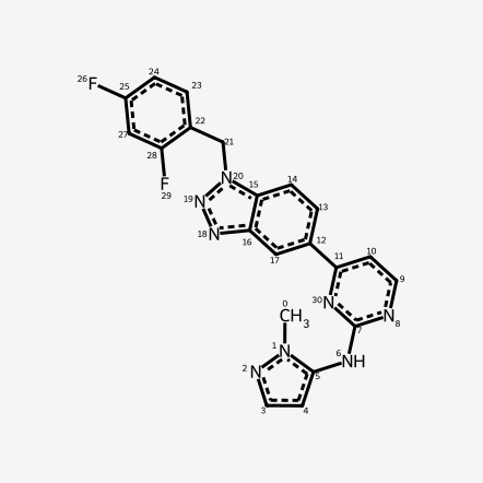 Cn1nccc1Nc1nccc(-c2ccc3c(c2)nnn3Cc2ccc(F)cc2F)n1